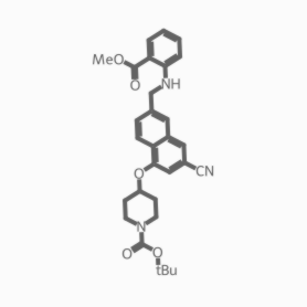 COC(=O)c1ccccc1NCc1ccc2c(OC3CCN(C(=O)OC(C)(C)C)CC3)cc(C#N)cc2c1